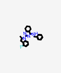 Cc1cc2c(F)cccc2n1-c1nc2c(c(NCc3ccccc3)n1)CCCC2